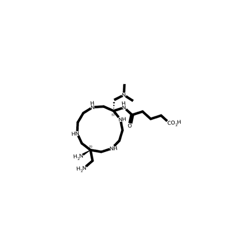 CN(C)C[C@@]1(NC(=O)CCCC(=O)O)CNCCNC[C@@](N)(CN)CNCCN1